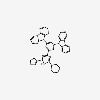 C1=CC2C3=C(CCC=C3)N(c3cc(C4=NC(C5=CCCC5)NC(C5CCCCC5)=N4)cc(-n4c5ccccc5c5ccccc54)c3)C2C=C1